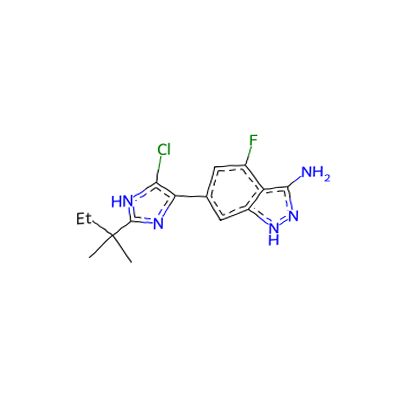 CCC(C)(C)c1nc(-c2cc(F)c3c(N)n[nH]c3c2)c(Cl)[nH]1